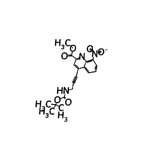 COC(=O)c1cc(C#CCNC(=O)OC(C)(C)C)c2cccc([N+](=O)[O-])c2n1